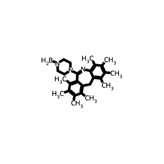 BN1CCN(C2=Nc3c(C)c(C)c(C)c(C)c3Cc3c(C)c(C)c(C)c(C)c32)CC1